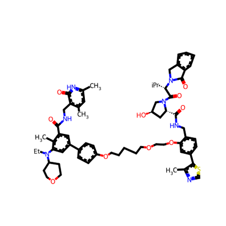 CCN(c1cc(-c2ccc(OCCCCCOCCOc3cc(-c4scnc4C)ccc3CNC(=O)[C@@H]3C[C@@H](O)CN3C(=O)[C@H](C(C)C)N3Cc4ccccc4C3=O)cc2)cc(C(=O)NCc2c(C)cc(C)[nH]c2=O)c1C)C1CCOCC1